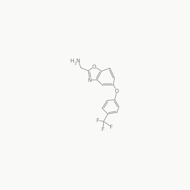 NCc1nc2cc(Oc3ccc(C(F)(F)F)cc3)ccc2o1